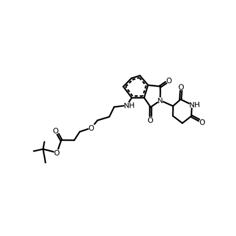 CC(C)(C)OC(=O)CCOCCCNc1cccc2c1C(=O)N(C1CCC(=O)NC1=O)C2=O